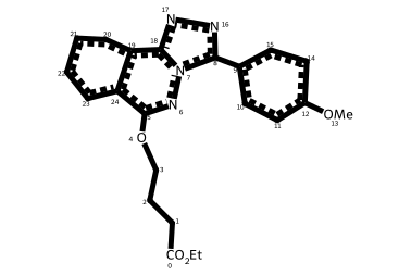 CCOC(=O)CCCOc1nn2c(-c3ccc(OC)cc3)nnc2c2ccccc12